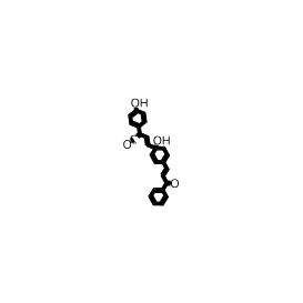 O=C=C(C=CC1(O)C=CC(C=CC(=O)c2ccccc2)=CC1)c1ccc(O)cc1